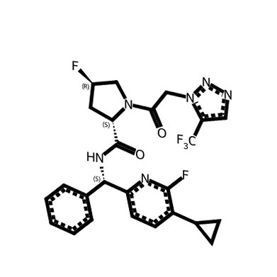 O=C(N[C@@H](c1ccccc1)c1ccc(C2CC2)c(F)n1)[C@@H]1C[C@@H](F)CN1C(=O)Cn1nncc1C(F)(F)F